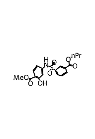 CCCOC(=O)c1cccc(S(=O)(=O)Nc2ccc(C(=O)OC)c(O)c2)c1